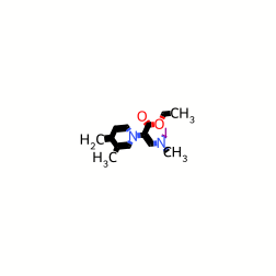 C=C1C=CN(C(=CN(C)I)C(=O)OCC)C=C1C